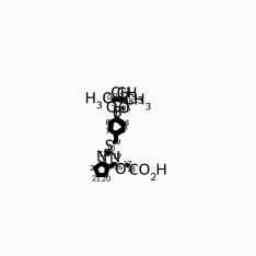 CC1(C)OB(c2ccc(CSc3nc4c(c(OCC(=O)O)n3)CCC4)cc2)OC1(C)C